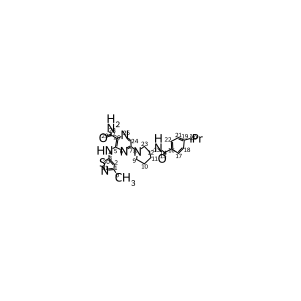 Cc1cc(Nc2nc(N3CCC[C@@H](NC(=O)c4ccc(C(C)C)cc4)C3)cnc2C(N)=O)sn1